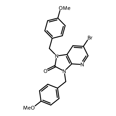 COc1ccc(Cn2c(=O)n(Cc3ccc(OC)cc3)c3ncc(Br)cc32)cc1